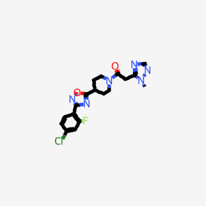 Cn1ncnc1CC(=O)N1CCC(c2nc(-c3ccc(Cl)cc3F)no2)CC1